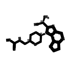 C[C@@H](O)c1nc2cnc3ccsc3c2n1[C@H]1CC[C@H](CNC(=O)O)OC1